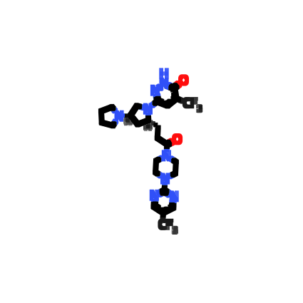 O=C(CC[C@@H]1C[C@H](N2CCCC2)CN1c1cc(C(F)(F)F)c(=O)[nH]n1)N1CCN(c2ncc(C(F)(F)F)cn2)CC1